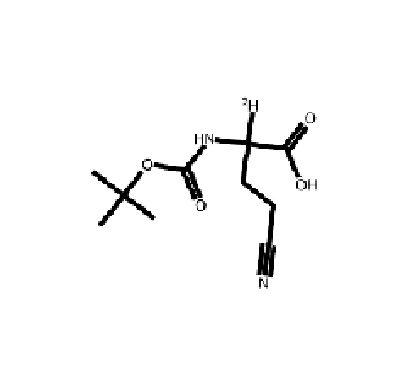 [2H]C(CCC#N)(NC(=O)OC(C)(C)C)C(=O)O